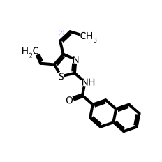 C=Cc1sc(NC(=O)c2ccc3ccccc3c2)nc1/C=C\C